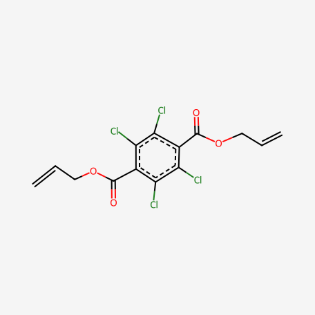 C=CCOC(=O)c1c(Cl)c(Cl)c(C(=O)OCC=C)c(Cl)c1Cl